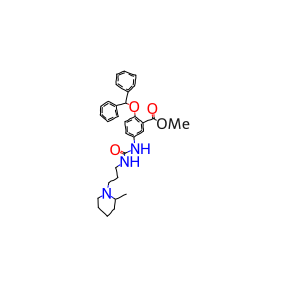 COC(=O)c1cc(NC(=O)NCCCN2CCCCC2C)ccc1OC(c1ccccc1)c1ccccc1